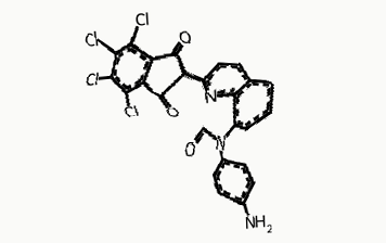 Nc1ccc(N(C=O)c2cccc3ccc(C4C(=O)c5c(Cl)c(Cl)c(Cl)c(Cl)c5C4=O)nc23)cc1